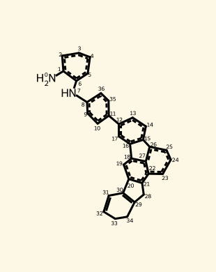 Nc1ccccc1Nc1ccc(-c2ccc3c(c2)-c2cc4c(c5cccc-3c25)CC2=C4C=CCC2)cc1